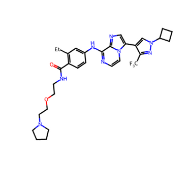 CCc1cc(Nc2nccn3c(-c4cn(C5CCC5)nc4C(F)(F)F)cnc23)ccc1C(=O)NCCOCCN1CCCC1